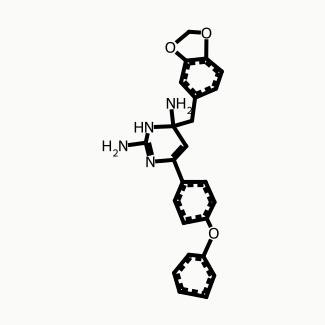 NC1=NC(c2ccc(Oc3ccccc3)cc2)=CC(N)(Cc2ccc3c(c2)OCO3)N1